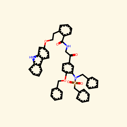 O=C(CNC(=O)c1ccccc1CCOc1ccc2c(c1)[nH]c1ccccc12)c1ccc(OCc2ccccc2)c(N(Cc2ccccc2)S(=O)(=O)Cc2ccccc2)c1